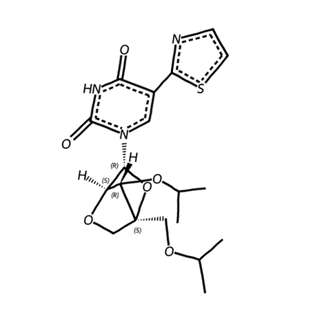 CC(C)OC[C@@]12CO[C@@H]([C@H](n3cc(-c4nccs4)c(=O)[nH]c3=O)O1)[C@@H]2OC(C)C